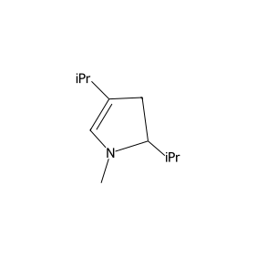 CC(C)C1=CN(C)C(C(C)C)C1